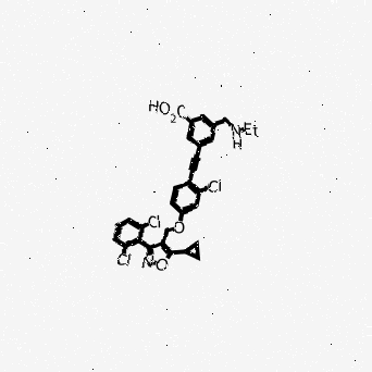 CCNCc1cc(C#Cc2ccc(OCc3c(-c4c(Cl)cccc4Cl)noc3C3CC3)cc2Cl)cc(C(=O)O)c1